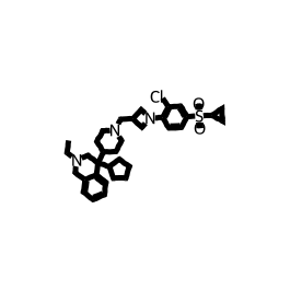 CCN1Cc2ccccc2C(C2CCCC2)(C2CCN(CC3CN(c4ccc(S(=O)(=O)C5CC5)cc4Cl)C3)CC2)C1